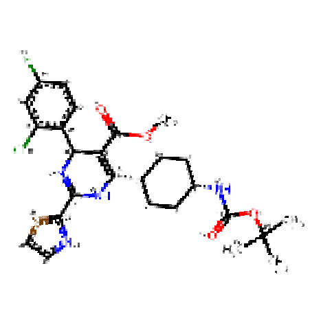 COC(=O)C1=C([C@H]2CC[C@@H](NC(=O)OC(C)(C)C)CC2)NC(c2nccs2)=NC1c1ccc(F)cc1Cl